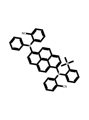 C[Si](C)(C)c1ccccc1N(c1ccccc1C#N)c1ccc2ccc3c(N(c4ccccc4)c4ccccc4C#N)ccc4ccc1c2c43